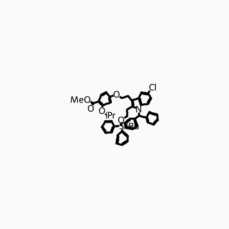 COC(=O)c1ccc(OCCc2c(CCO[Si](c3ccccc3)(c3ccccc3)C(C)(C)C)n(C(c3ccccc3)c3ccccc3)c3ccc(Cl)cc23)cc1OC(C)C